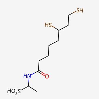 CC(NC(=O)CCCCC(S)CCS)S(=O)(=O)O